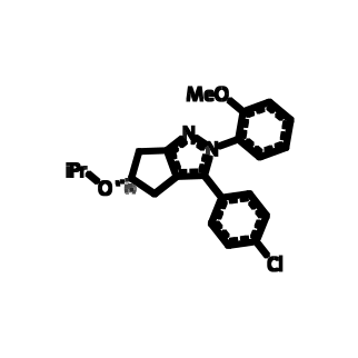 COc1ccccc1-n1nc2c(c1-c1ccc(Cl)cc1)C[C@H](OC(C)C)C2